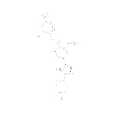 COc1cc(-c2cnc(C3CCC(F)(F)CC3)[nH]2)ccc1OCc1ncc(C(F)(F)F)cc1F